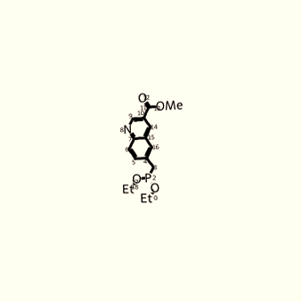 CCOP(Cc1ccc2ncc(C(=O)OC)cc2c1)OCC